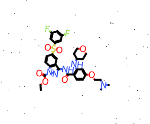 CCOC(=O)n1nc(NC(=O)c2ccc(OCCN(C)C)cc2NC2CCOCC2)c2cc(S(=O)(=O)c3cc(F)cc(F)c3)ccc21